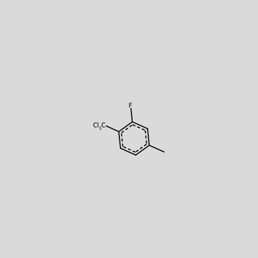 Cc1ccc(C(Cl)(Cl)Cl)c(F)c1